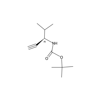 C#C[C@H](NC(=O)OC(C)(C)C)C(C)C